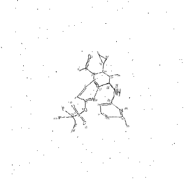 CC(=O)N1c2ccc(OS(=O)(=O)C(F)(F)F)nc2C(Nc2cccc(C)n2)C(C)C1C1CC1